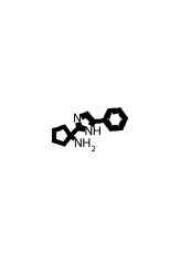 NC1(c2ncc(-c3ccccc3)[nH]2)CCCC1